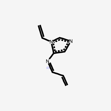 C=C/C=N\c1cncn1C=C